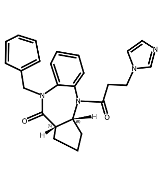 O=C1[C@H]2CCC[C@H]2N(C(=O)CCn2ccnc2)c2ccccc2N1Cc1ccccc1